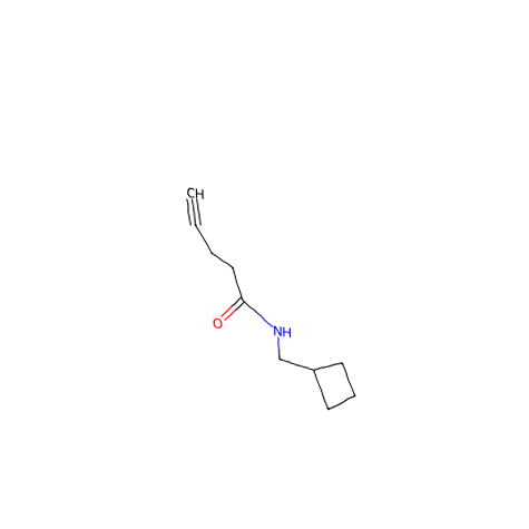 C#CCCC(=O)NCC1CCC1